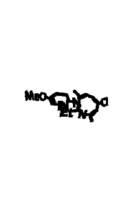 CCc1nc(C)cc(Cl)ccc(C)n1-c1ccc(OC)cn1